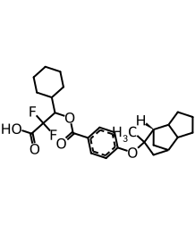 CC1(Oc2ccc(C(=O)OC(C3CCCCC3)C(F)(F)C(=O)O)cc2)CC2C[C@H]1C1CCCC21